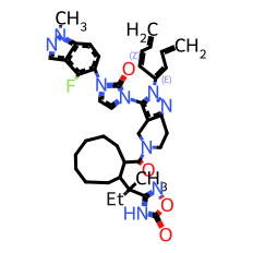 C=C/C=C\C(=C/C=C)n1nc2c(c1-n1ccn(-c3ccc4c(cnn4C)c3F)c1=O)CN(C(=O)C1CCCCCCCC1C(C)(CC)c1noc(=O)[nH]1)CC2